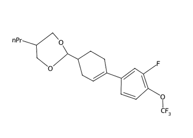 CCCC1COC(C2CC=C(c3ccc(OC(F)(F)F)c(F)c3)CC2)OC1